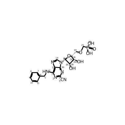 N#Cc1nc(NCc2ccccc2)c2ncn([C@@H]3O[C@H](COCP(=O)(O)O)[C@@H](O)[C@H]3O)c2n1